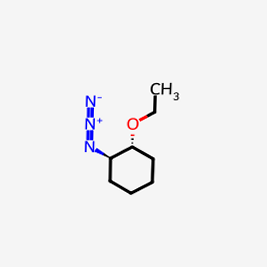 CCO[C@@H]1CCCC[C@H]1N=[N+]=[N-]